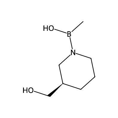 CB(O)N1CCC[C@@H](CO)C1